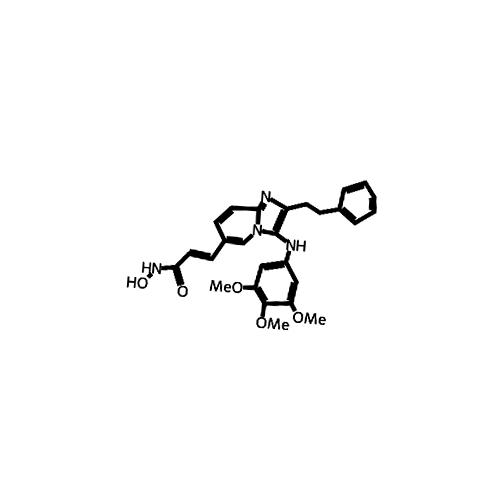 COc1cc(Nc2c(CCc3ccccc3)nc3ccc(/C=C/C(=O)NO)cn23)cc(OC)c1OC